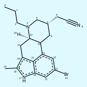 CCCN1C[C@H](CC#N)CC2c3cc(Br)cc4[nH]c(C)c(c34)C[C@H]21